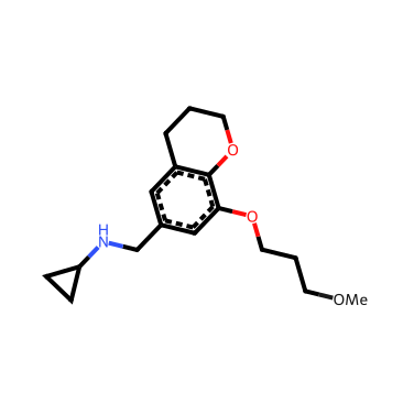 COCCCOc1cc(CNC2CC2)cc2c1OCCC2